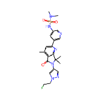 Cc1cc(-c2cncc(NS(=O)(=O)N(C)C)c2)nc2c1C(=O)N(c1cnn(CCF)c1)C2(C)C